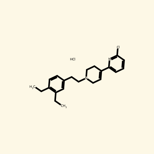 CCc1ccc(CCN2CC=C(c3cccc(Cl)n3)CC2)cc1CC.Cl